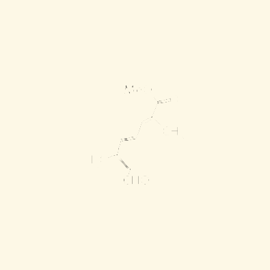 COC(=O)C(C)=CC=CC(C)=CC=O